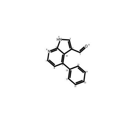 O=Cc1c[nH]c2nccc(-c3ccccc3)c12